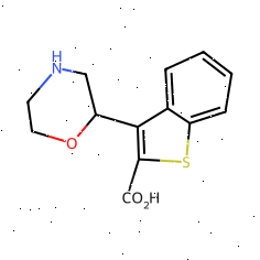 O=C(O)c1sc2ccccc2c1C1CNCCO1